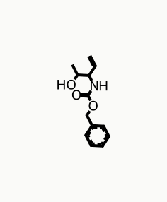 C=CC(NC(=O)OCc1ccccc1)C(C)O